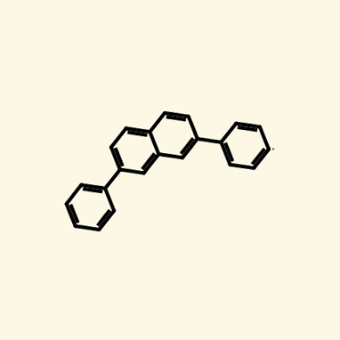 [c]1ccc(-c2ccc3ccc(-c4ccccc4)cc3c2)cc1